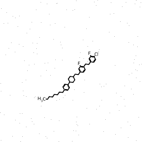 CCCCCCCCc1ccc(C2CCC(CCc3ccc(CCc4ccc(Cl)c(F)c4)c(F)c3)CC2)cc1